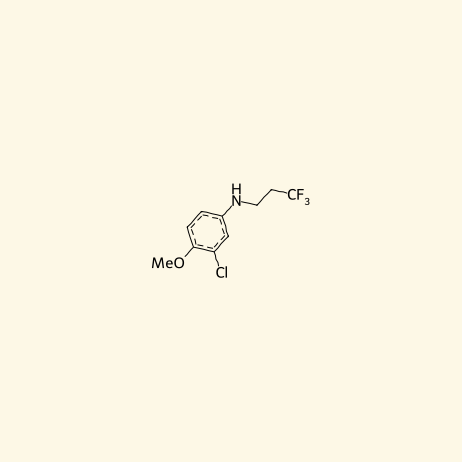 COc1ccc(NCCC(F)(F)F)cc1Cl